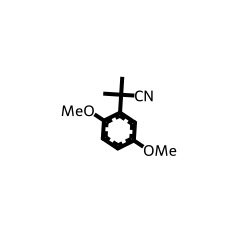 COc1ccc(OC)c(C(C)(C)C#N)c1